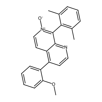 COc1ccccc1-c1ccnc2c(-c3c(C)cccc3C)[n+]([O-])ccc12